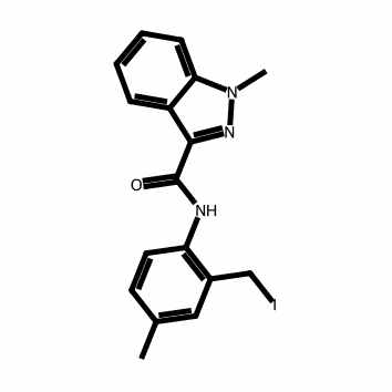 Cc1ccc(NC(=O)c2nn(C)c3ccccc23)c(CI)c1